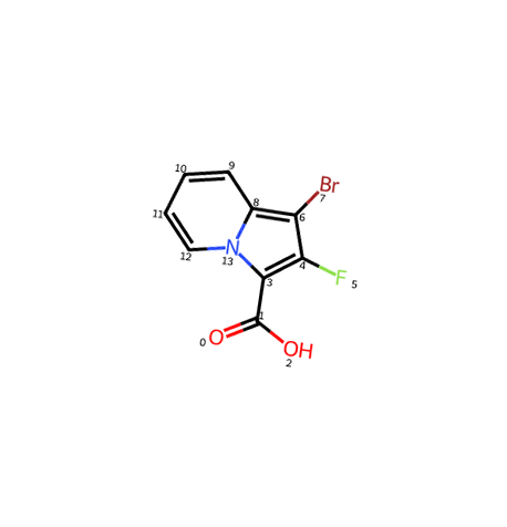 O=C(O)c1c(F)c(Br)c2ccccn12